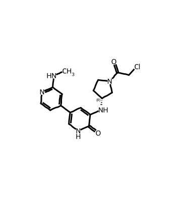 CNc1cc(-c2c[nH]c(=O)c(N[C@@H]3CCN(C(=O)CCl)C3)c2)ccn1